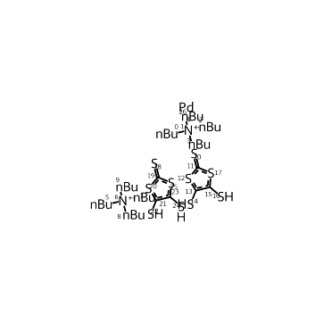 CCCC[N+](CCCC)(CCCC)CCCC.CCCC[N+](CCCC)(CCCC)CCCC.S=c1sc(S)c(S)s1.S=c1sc(S)c(S)s1.[Pd]